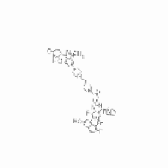 CCc1c(F)ccc2cc(O)cc(-c3ncc4c(N5CC6CCC(C5)N6)nc(OCC5(CN6CCC7(CC6)CC(N6CCC(c8ccc9c(C%10CCC(=O)NC%10=O)nn(C)c9c8)CC6)C7)CC5)nc4c3F)c12